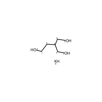 OCCC(CO)CO.[KH]